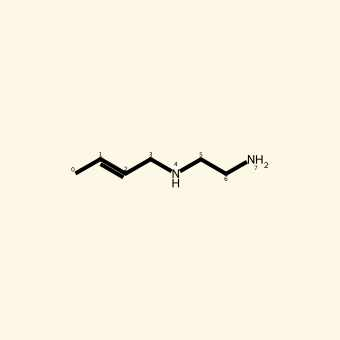 C/C=C/CNCCN